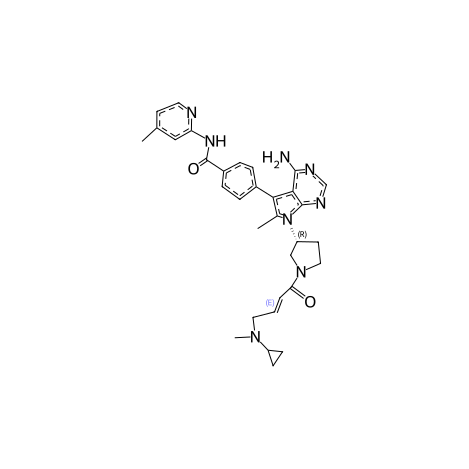 Cc1ccnc(NC(=O)c2ccc(-c3c(C)n([C@@H]4CCN(C(=O)/C=C/CN(C)C5CC5)C4)c4ncnc(N)c34)cc2)c1